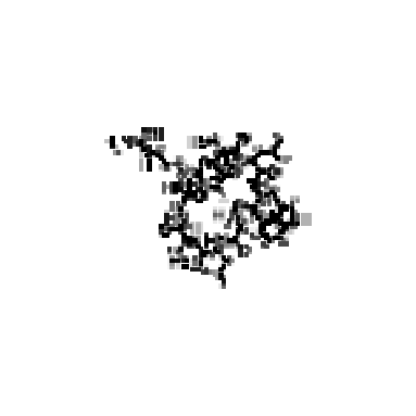 CC(C)C[C@H](NC(=O)[C@H](C)N)C(=O)N[C@@H](CS)C(=O)NCC(=O)N[C@@H](CCCNC(=N)N)C(=O)N[C@@H](C)C(=O)N[C@@H](CS)C(=O)N[C@@H](CC(C)C)C(=O)N[C@@H](Cc1c[nH]c2ccccc12)C(N)=O